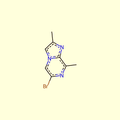 Cc1cn2cc(Br)nc(C)c2n1